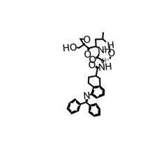 CC(C)CC(NC(=O)[C@H](CO)NC(=O)C1CCc2c(cccc2N=C(c2ccccc2)c2ccccc2)C1)C(=O)C1(CO)CO1